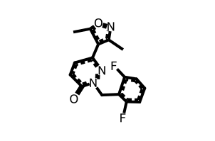 Cc1noc(C)c1-c1ccc(=O)n(Cc2c(F)cccc2F)n1